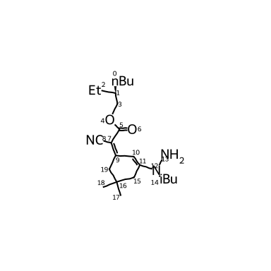 CCCC[C@H](CC)COC(=O)/C(C#N)=C1\C=C(N(N)C(C)CC)CC(C)(C)C1